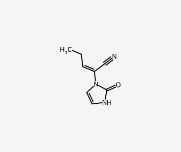 CCC=C(C#N)n1cc[nH]c1=O